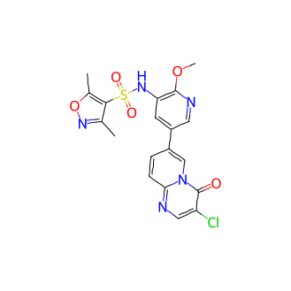 COc1ncc(-c2ccc3ncc(Cl)c(=O)n3c2)cc1NS(=O)(=O)c1c(C)noc1C